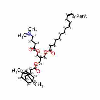 CCCCC/C=C\C/C=C\CCCCCCCC(=O)OCC(COC(=O)CCCN(C)C)COC(=O)CC12CC3C[C@@](C)(C1)C[C@](C)(C3)C2